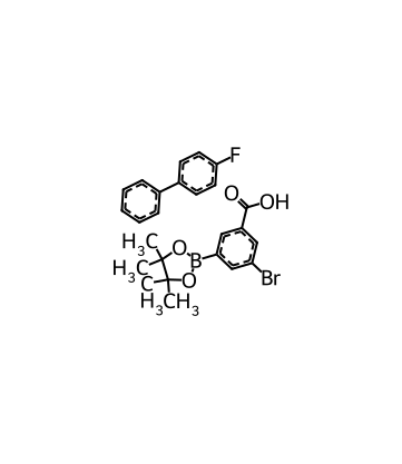 CC1(C)OB(c2cc(Br)cc(C(=O)O)c2)OC1(C)C.Fc1ccc(-c2ccccc2)cc1